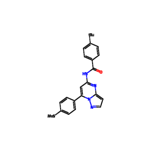 CSc1ccc(-c2cc(NC(=O)c3ccc(C(C)(C)C)cc3)nc3ccnn23)cc1